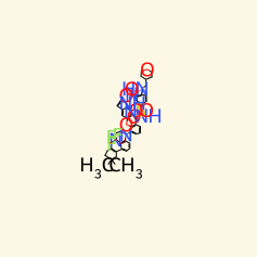 CC1(C)CCC(CN2CCN(c3cccc(C(=O)NS(=O)(=O)c4ccc(NCC5CCOCC5)c([N+](=O)[O-])c4)c3Oc3cnc4[nH]ccc4c3)CC2)=C(c2ccccc2C(F)(F)F)C1